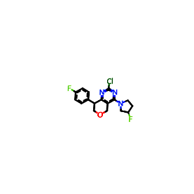 Fc1ccc(C2COCc3c2nc(Cl)nc3N2CC[C@@H](F)C2)cc1